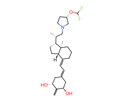 C=C1[C@H](O)CC(=C/C=C2\CCC[C@]3(C)[C@@H]([C@H](C)CN4CC[C@H](OC(F)F)C4)CC[C@@H]23)C[C@H]1O